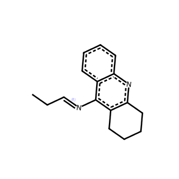 CC/C=N/c1c2c(nc3ccccc13)CCCC2